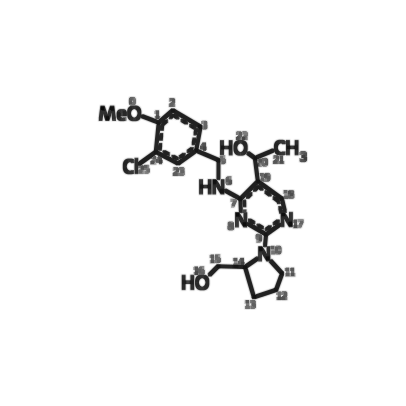 COc1ccc(CNc2nc(N3CCCC3CO)ncc2C(C)O)cc1Cl